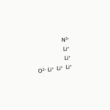 [Li+].[Li+].[Li+].[Li+].[Li+].[N-3].[O-2]